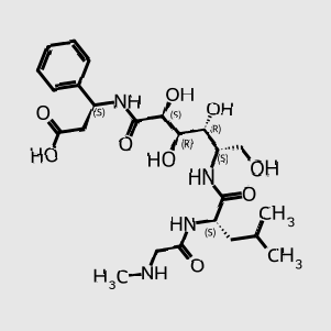 CNCC(=O)N[C@@H](CC(C)C)C(=O)N[C@@H](CO)[C@@H](O)[C@@H](O)[C@H](O)C(=O)N[C@@H](CC(=O)O)c1ccccc1